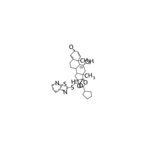 CC12C=CC(=O)C=C1CCC1C2[C@@H](O)CC2(C)C1C[C@@H]1OC(C3CCCC3)O[C@]12C(=O)CSc1nc2cccnc2s1